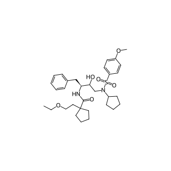 CCOCCC1(C(=O)N[C@@H](Cc2ccccc2)C(O)CN(C2CCCC2)S(=O)(=O)c2ccc(OC)cc2)CCCC1